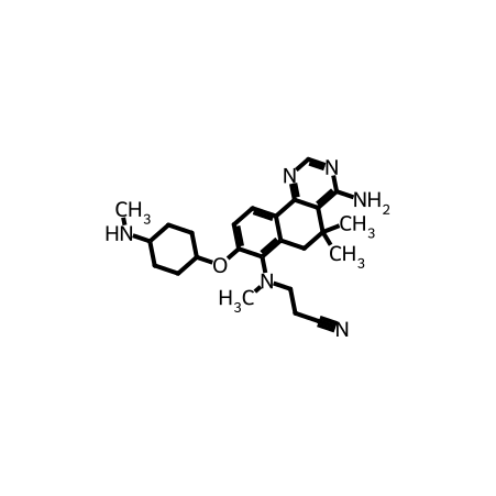 CNC1CCC(Oc2ccc3c(c2N(C)CCC#N)CC(C)(C)c2c(N)ncnc2-3)CC1